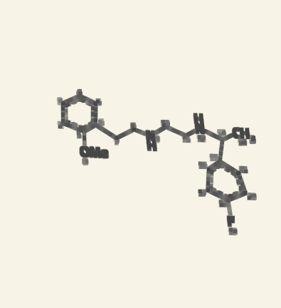 COc1ccccc1CCNCCNC(C)c1ccc(F)cc1